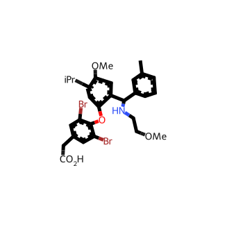 COCCNC(c1cccc(C)c1)c1cc(OC)c(C(C)C)cc1Oc1c(Br)cc(CC(=O)O)cc1Br